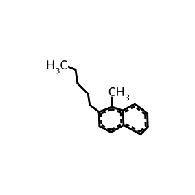 CCCCCc1ccc2ccccc2c1C